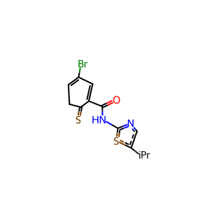 CC(C)c1cnc(NC(=O)C2=CC(Br)=CCC2=S)s1